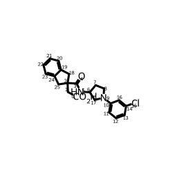 O=C(O)CC1(C(=O)NC2CCN(c3cccc(Cl)c3)C2)Cc2ccccc2C1